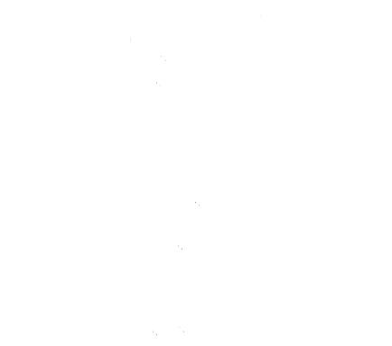 Cc1ccc2c(-c3ccc(NC(=O)NCc4cn[nH]c4)cc3)nn(C)c2c1